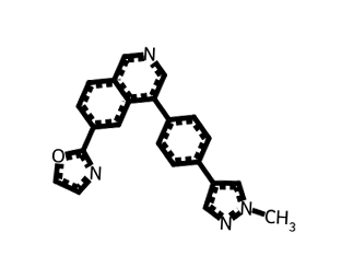 Cn1cc(-c2ccc(-c3cncc4ccc(-c5ncco5)cc34)cc2)cn1